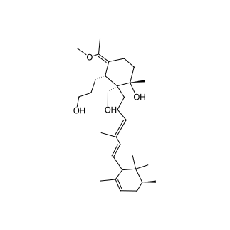 CO/C(C)=C1/CC[C@](C)(O)[C@@](CO)(CC/C=C(C)/C=C/C2C(C)=CC[C@H](C)C2(C)C)[C@@H]1CCCO